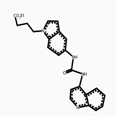 CCOC(=O)CCCn1ccc2cc(NC(=O)Nc3ccnc4ccccc34)ccc21